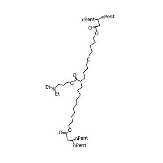 CCCCCC(CCCCC)CC(=O)OCCCCCCCCCCC(CCCCCCCCCCOC(=O)CC(CCCCC)CCCCC)C(=O)OCCCN(CC)CC